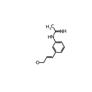 CC(=N)Nc1cccc(C=CC[O])c1